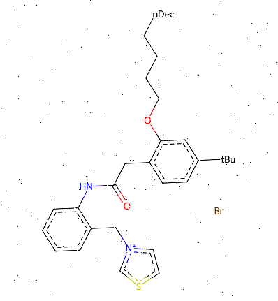 CCCCCCCCCCCCCCOc1cc(C(C)(C)C)ccc1CC(=O)Nc1ccccc1C[n+]1ccsc1.[Br-]